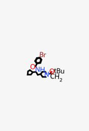 C=C(OC(C)(C)C)N1CCC(CC(NC(=O)c2ccc(Br)cc2)C2CCCC2)CC1